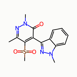 Cc1nn(C)c(=O)c(-c2nn(C)c3ccccc23)c1S(C)(=O)=O